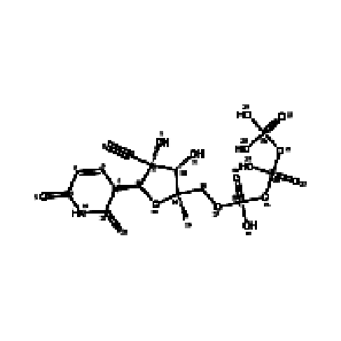 C#C[C@]1(O)[C@H](N2C=CC(=O)NC2=C)O[C@](F)(COP(=O)(O)OP(=O)(O)OP(=O)(O)O)[C@H]1O